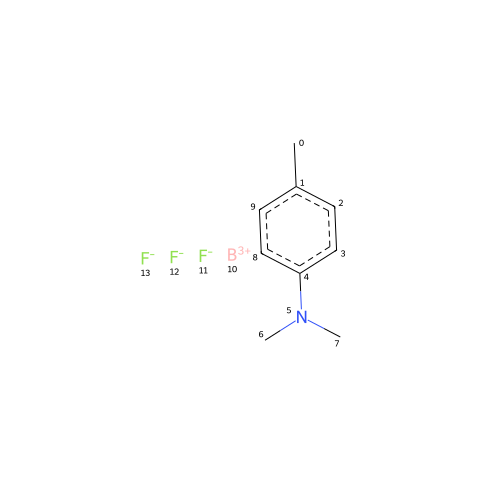 Cc1ccc(N(C)C)cc1.[B+3].[F-].[F-].[F-]